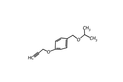 C#CCOc1ccc(COC(C)C)cc1